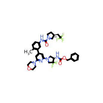 Cc1ccc(NC(=O)N2CC[C@@H](CC(F)(F)F)C2)cc1-c1cc(N2CCOCC2)nc(N2C[C@H](NC(=O)OCc3ccccc3)C(F)(F)C2)c1